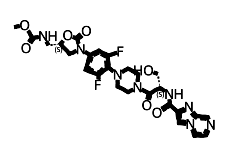 COC(=O)NC[C@H]1CN(c2cc(F)c(N3CCN(C(=O)[C@H](CO)NC(=O)c4cn5ccncc5n4)CC3)c(F)c2)C(=O)O1